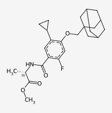 COC(=O)[C@H](C)NC(=O)c1cc(C2CC2)c(OCC23CC4CC(CC(C4)C2)C3)cc1F